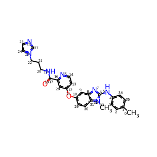 Cc1ccc(Nc2nc3cc(Oc4ccnc(C(=O)NCCCn5ccnc5)c4)ccc3n2C)cc1